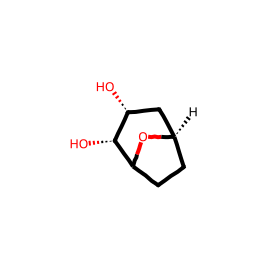 O[C@@H]1C[C@H]2CCC(O2)[C@@H]1O